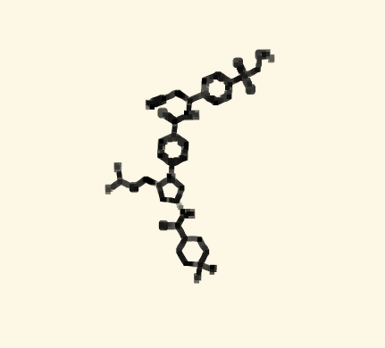 CCS(=O)(=O)c1ccc([C@H](CC#N)NC(=O)c2ccc(N3C[C@H](NC(=O)C4CCC(F)(F)CC4)C[C@H]3COC(F)F)cc2)cc1